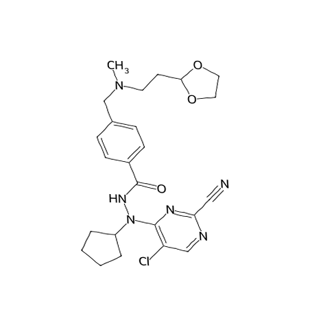 CN(CCC1OCCO1)Cc1ccc(C(=O)NN(c2nc(C#N)ncc2Cl)C2CCCC2)cc1